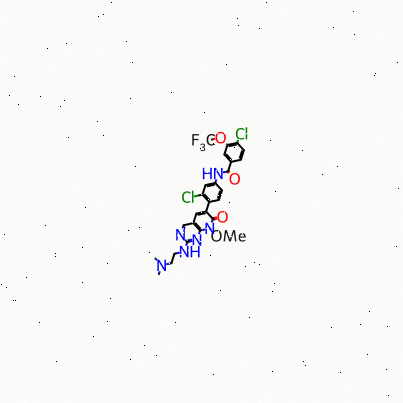 COn1c(=O)c(-c2ccc(NC(=O)c3ccc(Cl)c(OC(F)(F)F)c3)cc2Cl)cc2cnc(NCCN(C)C)nc21